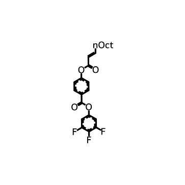 CCCCCCCCC=CC(=O)Oc1ccc(C(=O)Oc2cc(F)c(F)c(F)c2)cc1